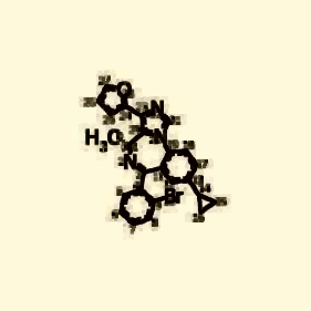 C[C@H]1N=C(c2ccccc2Br)c2cc(C3CC3)ccc2-n2cnc(-c3ccco3)c21